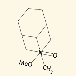 COC(=O)C1C2CCCC1CN(C)C2